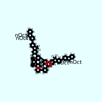 CCCCCCCCC1(CCCCCCCC)c2ccccc2-c2ccc(-c3ccc4c(c3)C(C)(C)c3cc(-c5cc6c7c(c5)c5cc(-c8cc9c(cc8C)-c8ccc(-c%10ccc%11c(c%10)C(CCCCCCCC)(CCCCCCCC)c%10ccccc%10-%11)cc8C9(C)C)cc8c5n7-c5c(cccc5C85c7ccccc7-c7ccccc75)B6c5c(-c6ccccc6)cccc5-c5ccccc5)c(C)cc3-4)cc21